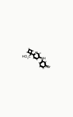 O=C(O)C1(c2ccc(Nc3cccc(Br)c3)cn2)CCC1